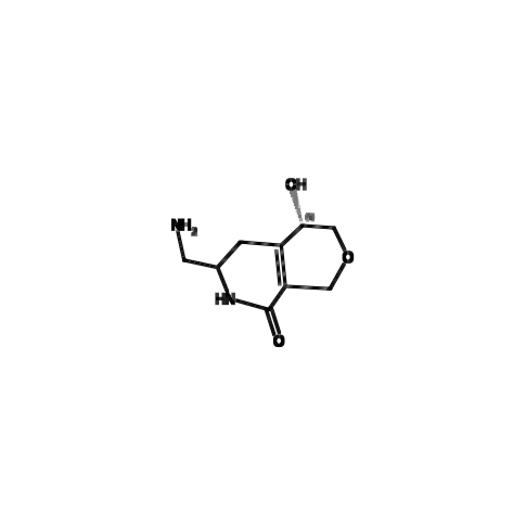 NCC1CC2=C(COC[C@H]2O)C(=O)N1